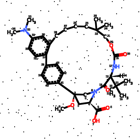 CO[C@@]12C[C@@H](C(=O)O)N(C1)C(=O)[C@H](C(C)(C)C)NC(=O)OCC(C)(C)CCCCc1cc(N(C)C)ccc1-c1ccc2cc1